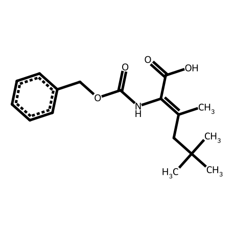 CC(CC(C)(C)C)=C(NC(=O)OCc1ccccc1)C(=O)O